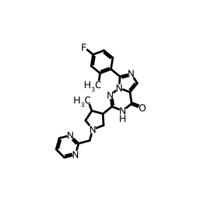 Cc1cc(F)ccc1-c1ncc2c(=O)[nH]c(C3CN(Cc4ncccn4)CC3C)nn12